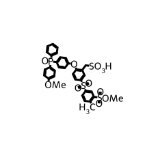 COc1ccc(P(=O)(c2ccccc2)c2ccc(Oc3ccc(S(=O)(=O)c4ccc(C)c(S(=O)(=O)OC)c4)cc3CS(=O)(=O)O)cc2)cc1